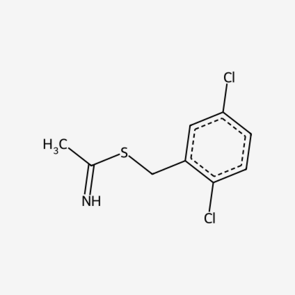 CC(=N)SCc1cc(Cl)ccc1Cl